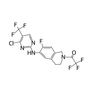 O=C(N1CCc2cc(Nc3ncc(C(F)(F)F)c(Cl)n3)c(F)cc2C1)C(F)(F)F